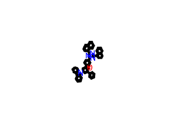 c1ccc(-c2cc(-n3c4ccccc4c4ccccc43)cc3c2oc2cc(-c4nc(-c5cccc6ccccc56)nc(-c5cccc6ccccc56)n4)ccc23)cc1